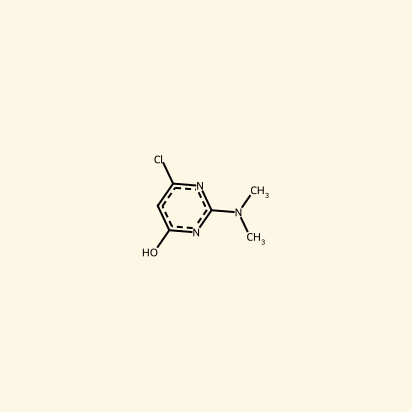 CN(C)c1nc(O)cc(Cl)n1